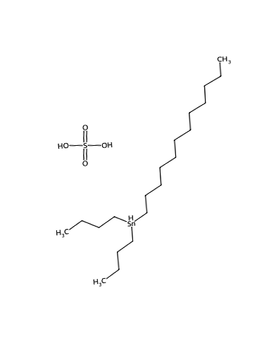 CCCCCCCCCCC[CH2][SnH]([CH2]CCC)[CH2]CCC.O=S(=O)(O)O